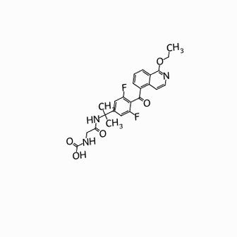 CCOc1nccc2c(C(=O)c3c(F)cc(C(C)(C)NC(=O)CNC(=O)O)cc3F)cccc12